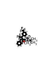 CCC1(N)N(C(=O)OC(C)C)c2ccc(C(F)(F)F)cc2C(C(F)(F)F)C1(Cc1ccccc1)C(F)(F)F